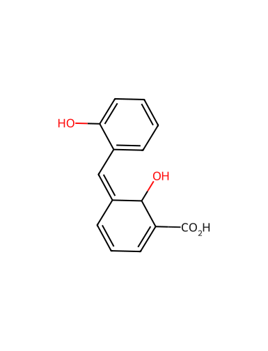 O=C(O)C1=CC=CC(=Cc2ccccc2O)C1O